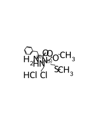 CCOC(=O)[C@H](CCSC)N(NCCCl)C(=O)[C@@H](N)Cc1ccccc1.Cl